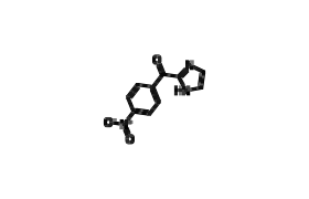 O=C(c1ccc([N+](=O)[O-])cc1)c1ncc[nH]1